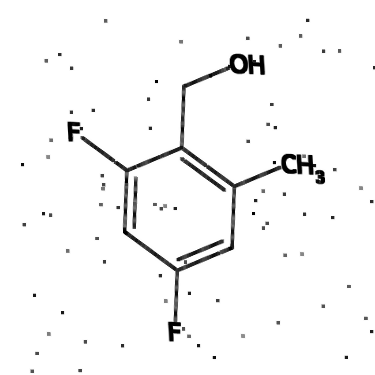 Cc1cc(F)cc(F)c1CO